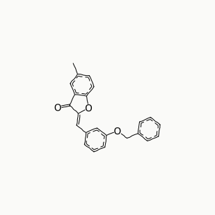 Cc1ccc2c(c1)C(=O)/C(=C/c1cccc(OCc3ccccc3)c1)O2